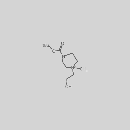 CC(C)(C)OC(=O)N1CC[N+](C)(CCO)CC1